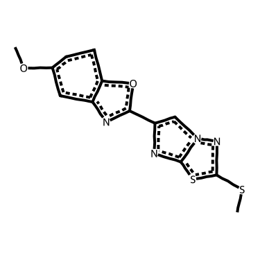 COc1ccc2oc(-c3cn4nc(SC)sc4n3)nc2c1